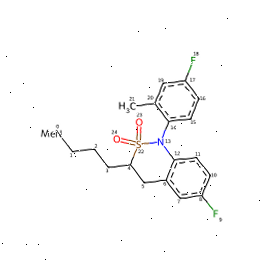 CNCCCC1Cc2cc(F)ccc2N(c2ccc(F)cc2C)S1(=O)=O